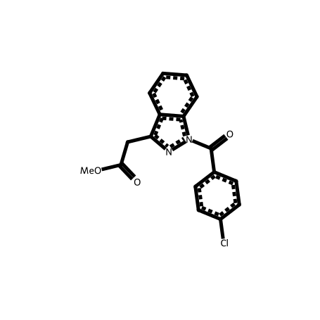 COC(=O)Cc1nn(C(=O)c2ccc(Cl)cc2)c2ccccc12